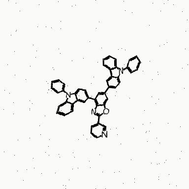 c1ccc(-n2c3ccccc3c3cc(-c4cc(-c5ccc6c(c5)c5ccccc5n6-c5ccccc5)c5nc(-c6cccnc6)oc5c4)ccc32)cc1